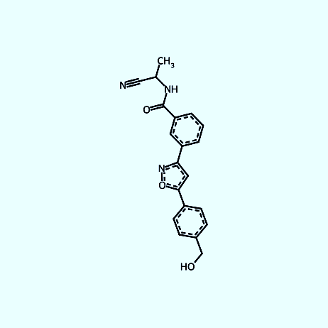 CC(C#N)NC(=O)c1cccc(-c2cc(-c3ccc(CO)cc3)on2)c1